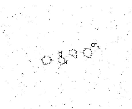 Cc1nc(-c2ccc(-c3cccc(C(F)(F)F)c3)o2)[nH]c1-c1ccccc1